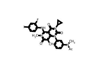 CC(=O)N(C)c1cccc(-n2c(=O)n(C3CC3)c(=O)c3c(Nc4ccc(I)cc4F)n(C)c(=O)c(C)c32)c1